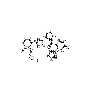 CCOc1c(F)cccc1-c1nc([C@@H]2CCCN2C(=O)c2ccc(Cl)cc2-n2nccn2)no1